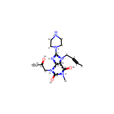 CC#CCn1c(N2CCNCC2)nc2c1c(=O)n(C)c(=O)n2CC(=O)C(C)(C)C